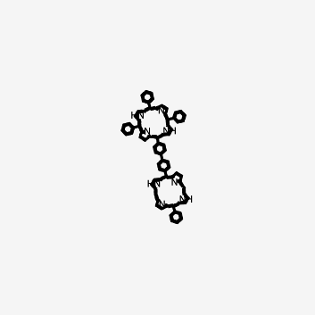 C1=Cc2nc1cc1ccc([nH]1)c(-c1ccccc1)c1nc(cc3ccc([nH]3)c2-c2ccc(-c3ccc(-c4c5nc(c(-c6ccccc6)c6ccc([nH]6)c(-c6ccccc6)c6nc(c(-c7ccccc7)c7ccc4[nH]7)C=C6)C=C5)cc3)cc2)C=C1